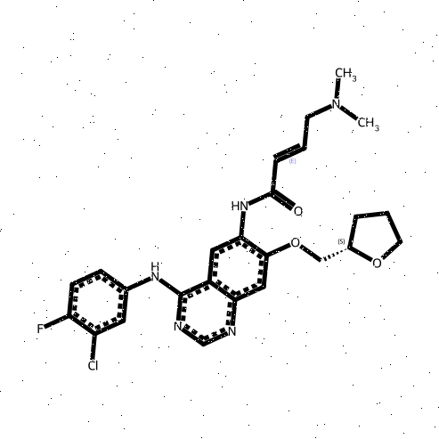 CN(C)C/C=C/C(=O)Nc1cc2c(Nc3ccc(F)c(Cl)c3)ncnc2cc1OC[C@@H]1CCCO1